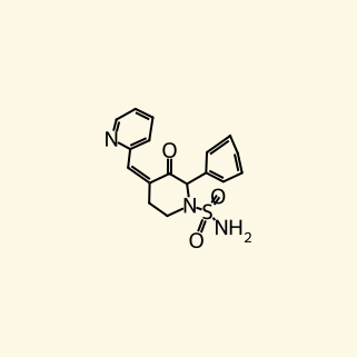 NS(=O)(=O)N1CCC(=Cc2ccccn2)C(=O)C1c1ccccc1